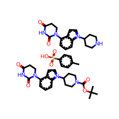 CC(C)(C)OC(=O)N1CCC(n2ccc3c(N4CCC(=O)NC4=O)cccc32)CC1.Cc1ccc(S(=O)(=O)O)cc1.O=C1CCN(c2cccc3c2ccn3C2CCNCC2)C(=O)N1